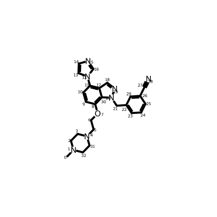 CN1CCN(CCOc2ccc(-n3ccnc3)c3cnn(Cc4cccc(C#N)c4)c23)CC1